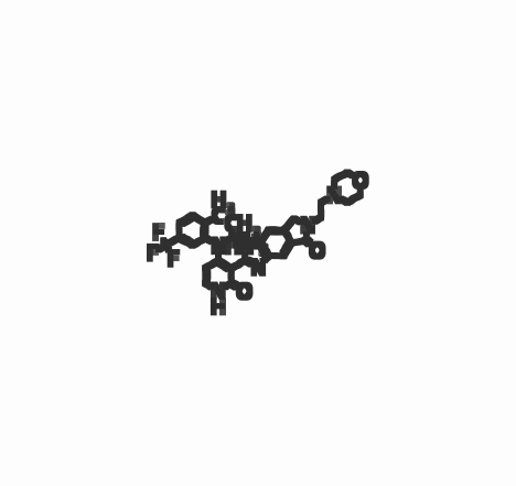 Cc1ccc(C(F)(F)F)cc1N(c1cc[nH]c(=O)c1-c1nc2cc3c(cc2[nH]1)CN(CCN1CCOCC1)C3=O)C(C)C